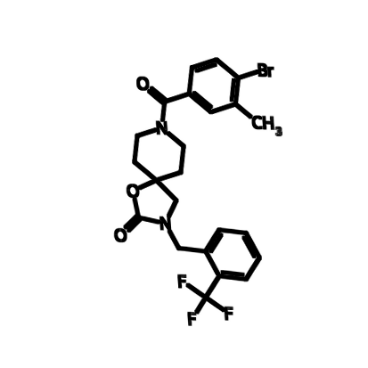 Cc1cc(C(=O)N2CCC3(CC2)CN(Cc2ccccc2C(F)(F)F)C(=O)O3)ccc1Br